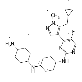 Cn1ncc(-c2nc(N[C@H]3CC[C@H](NC4CCC(N)CC4)CC3)ncc2F)c1CC1CC1